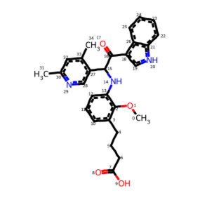 COc1c(CCCC(=O)O)cccc1NC(C(=O)c1c[nH]c2ccccc12)c1cnc(C)cc1C